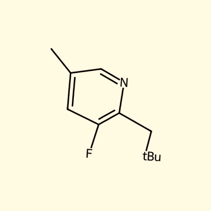 Cc1cnc(CC(C)(C)C)c(F)c1